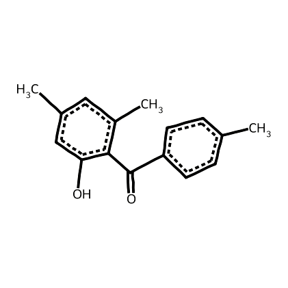 Cc1ccc(C(=O)c2c(C)cc(C)cc2O)cc1